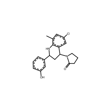 Cc1cc(Cl)cc2c1NC(c1cccc(O)c1)CC2N1CCCC1=O